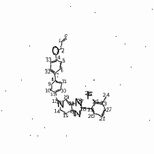 C=CCOc1ccc(-c2ccc(Cn3ccc4nc(-c5cccc(C)c5F)nc-4c3)cc2)cc1